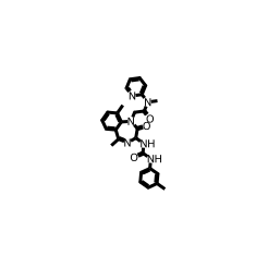 CC1=NC(NC(=O)Nc2cccc(C)c2)C(=O)N(CC(=O)N(C)c2ccccn2)c2c(C)cccc21